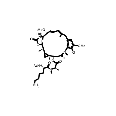 COc1cc2cc(c1Cl)N(C)C(=O)C[C@H](OC(=O)[C@@H](C)N(C)C(=O)[C@H](CCCCN)NC(C)=O)[C@]1(C)CC1[C@@H](C)C1C[C@@](O)(NC(=O)O1)[C@H](OC)/C=C/C=C(\C)C2